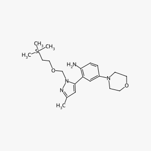 Cc1cc(-c2cc(N3CCOCC3)ccc2N)n(COCC[Si](C)(C)C)n1